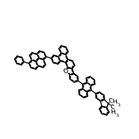 CC1(C)c2ccccc2-c2cc(-c3c4ccccc4c(-c4ccc5oc6c(ccc7c8ccccc8c8cc(-c9ccc%10ccc%11c(-c%12ccccc%12)ccc%12ccc9c%10c%12%11)ccc8c76)c5c4)c4ccccc34)ccc21